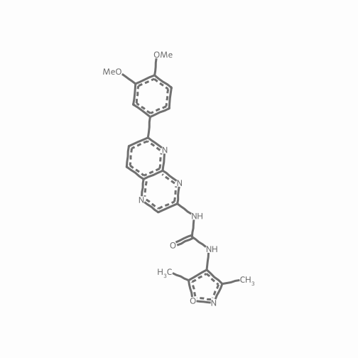 COc1ccc(-c2ccc3ncc(NC(=O)Nc4c(C)noc4C)nc3n2)cc1OC